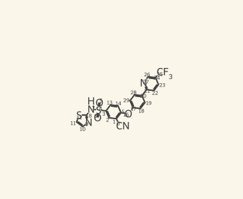 N#Cc1cc(S(=O)(=O)Nc2nccs2)ccc1Oc1ccc(-c2ccc(C(F)(F)F)cn2)cc1